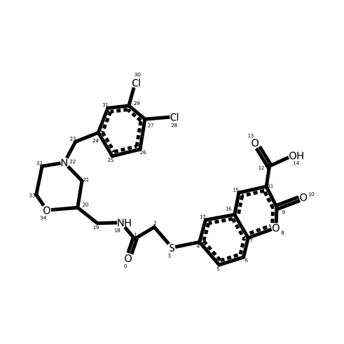 O=C(CSc1ccc2oc(=O)c(C(=O)O)cc2c1)NCC1CN(Cc2ccc(Cl)c(Cl)c2)CCO1